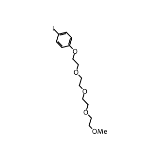 COCCOCCOCCOCCOc1ccc(I)cc1